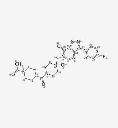 CC(=O)N1CCC(C(=O)N2CCC(O)(Cn3cnc4c(cnn4-c4ccc(F)cc4)c3=O)CC2)CC1